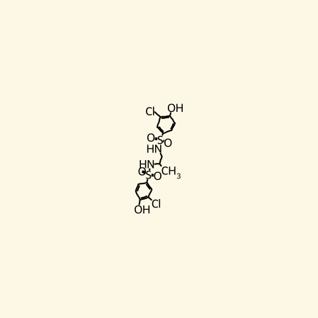 CC(CNS(=O)(=O)c1ccc(O)c(Cl)c1)NS(=O)(=O)c1ccc(O)c(Cl)c1